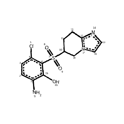 Nc1ccc(Cl)c(S(=O)(=O)C2CCc3nccn3C2)c1O